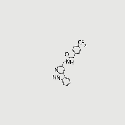 O=C(Cc1ccc(C(F)(F)F)cc1)NCc1cnc2[nH]c3ccccc3c2c1